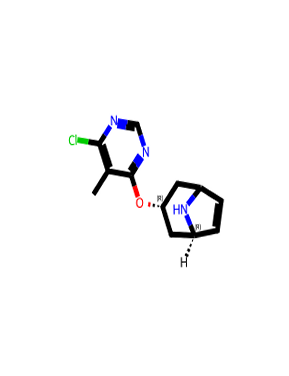 Cc1c(Cl)ncnc1O[C@@H]1CC2C=C[C@@H](C1)N2